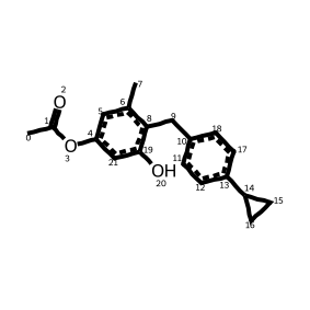 CC(=O)Oc1cc(C)c(Cc2ccc(C3CC3)cc2)c(O)c1